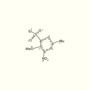 CCS(=O)(=O)c1cc(C(C)(C)C)cc([N+](=O)[O-])c1OC